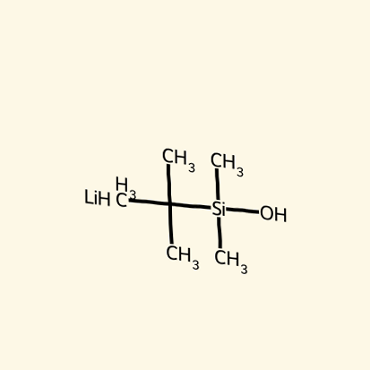 CC(C)(C)[Si](C)(C)O.[LiH]